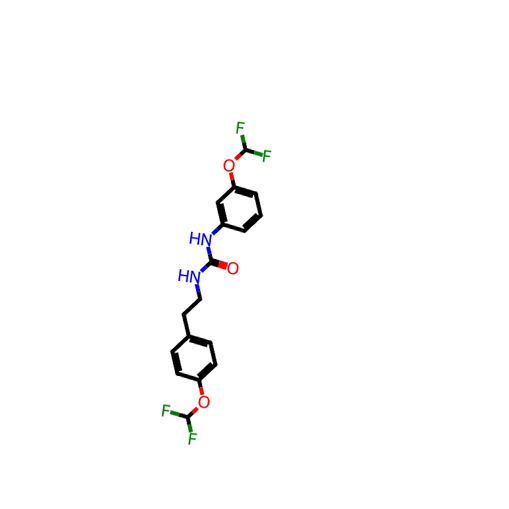 O=C(NCCc1ccc(OC(F)F)cc1)Nc1cccc(OC(F)F)c1